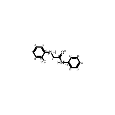 O=C(CNc1ccccc1F)Nc1ccccc1